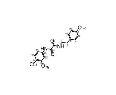 COc1ccc(CCNC(=O)C(=O)Nc2ccc(Cl)c(OC)c2)cc1